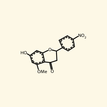 COc1cc(O)cc2c1C(=O)CC(c1ccc([N+](=O)[O-])cc1)O2